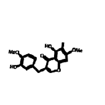 COc1ccc(Cc2coc3cc(OC)c(C)c(O)c3c2=O)cc1O